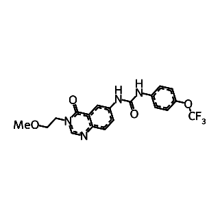 COCCn1cnc2ccc(NC(=O)Nc3ccc(OC(F)(F)F)cc3)cc2c1=O